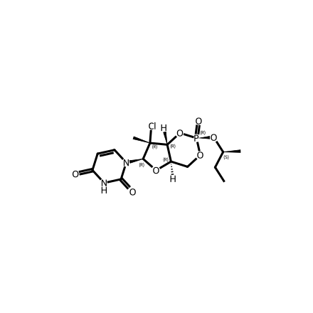 CC[C@H](C)O[P@@]1(=O)OC[C@H]2O[C@@H](n3ccc(=O)[nH]c3=O)[C@](C)(Cl)[C@@H]2O1